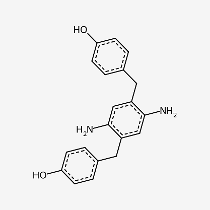 Nc1cc(Cc2ccc(O)cc2)c(N)cc1Cc1ccc(O)cc1